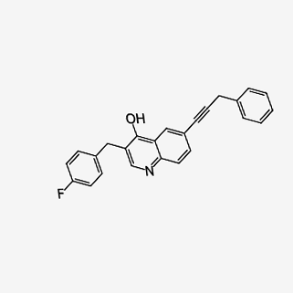 Oc1c(Cc2ccc(F)cc2)cnc2ccc(C#CCc3ccccc3)cc12